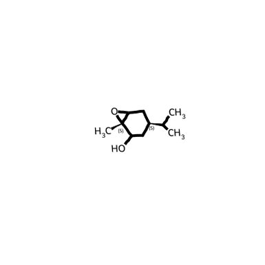 CC(C)[C@H]1CC(O)[C@]2(C)OC2C1